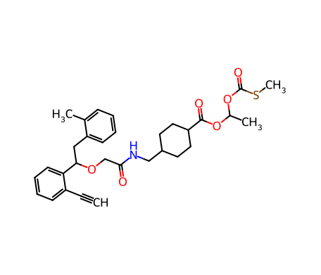 C#Cc1ccccc1C(Cc1ccccc1C)OCC(=O)NCC1CCC(C(=O)OC(C)OC(=O)SC)CC1